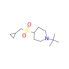 CC(C)(C)N1CCC(S(=O)(=O)CC2CC2)CC1